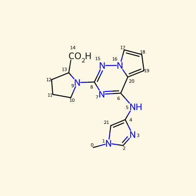 Cn1cnc(Nc2nc(N3CCCC3C(=O)O)nn3cccc23)c1